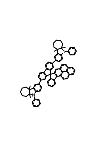 CC12CCCCCC1(C)N(c1ccccc1)c1ccc(-c3ccc4c(c3)C3(c5cc(-c6ccc7c(c6)C6(C)CCCCCC6(C)N7c6ccccc6)ccc5-4)c4ccccc4-c4c3cc3ccc5cccc6ccc4c3c56)cc12